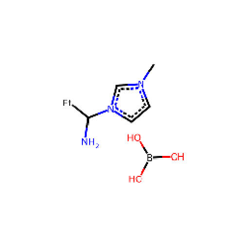 CCC(N)[n+]1ccn(C)c1.OB(O)O